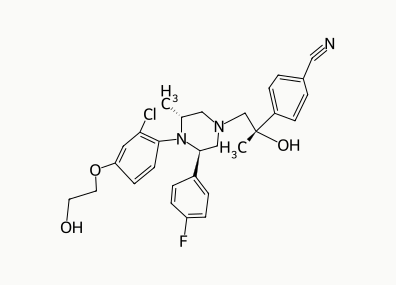 C[C@@H]1CN(C[C@@](C)(O)c2ccc(C#N)cc2)C[C@@H](c2ccc(F)cc2)N1c1ccc(OCCO)cc1Cl